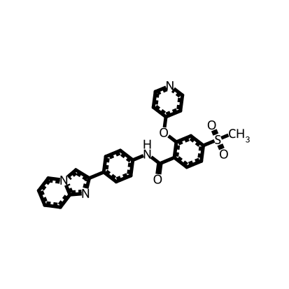 CS(=O)(=O)c1ccc(C(=O)Nc2ccc(-c3cn4ccccc4n3)cc2)c(Oc2ccncc2)c1